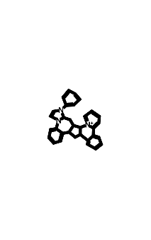 C1=CN2c3ccccc3C3CC4c5ccccc5-c5cccc[n+]5C4C3CC2N1c1ccccc1